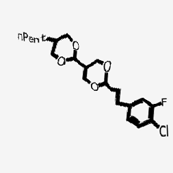 CCCCCC1COC(C2COC(CCc3ccc(Cl)c(F)c3)OC2)OC1